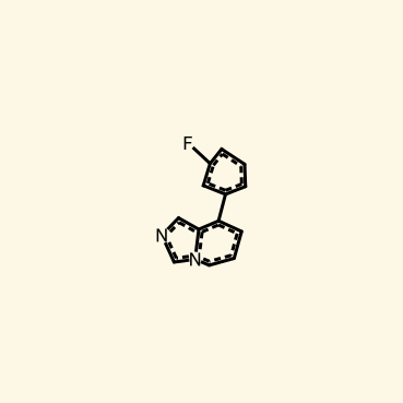 Fc1cccc(-c2cccn3cncc23)c1